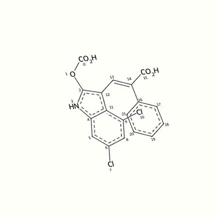 O=C(O)Oc1[nH]c2cc(Cl)cc(Cl)c2c1/C=C(/C(=O)O)c1ccccc1